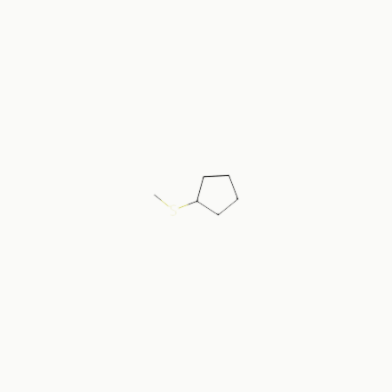 CSC1CCCC1